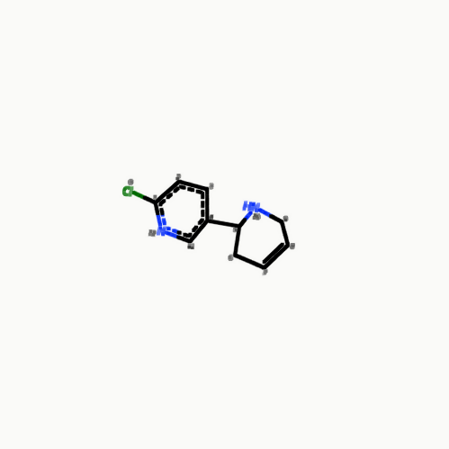 Clc1ccc(C2CC=CCN2)cn1